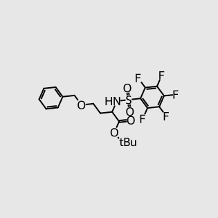 CC(C)(C)OC(=O)C(CCOCc1ccccc1)NS(=O)(=O)c1c(F)c(F)c(F)c(F)c1F